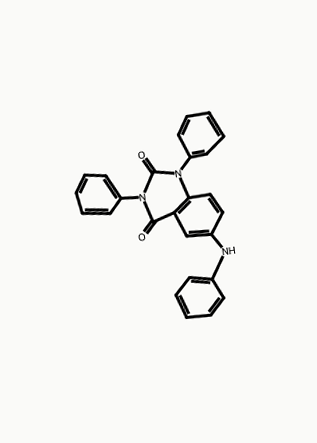 O=c1c2cc(Nc3ccccc3)ccc2n(-c2ccccc2)c(=O)n1-c1ccccc1